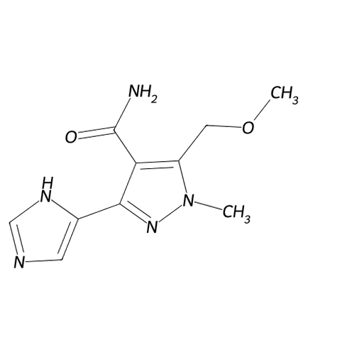 COCc1c(C(N)=O)c(-c2cnc[nH]2)nn1C